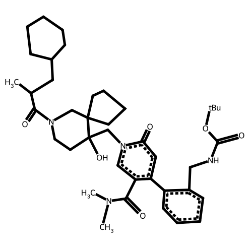 CC(CC1CCCCC1)C(=O)N1CCC(O)(Cn2cc(C(=O)N(C)C)c(-c3ccccc3CNC(=O)OC(C)(C)C)cc2=O)C2(CCCC2)C1